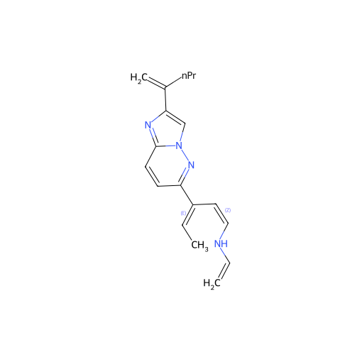 C=CN/C=C\C(=C/C)c1ccc2nc(C(=C)CCC)cn2n1